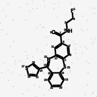 O=C(NCCF)c1ccc2c(c1)N=C(c1ccsc1)c1ccccc1S2